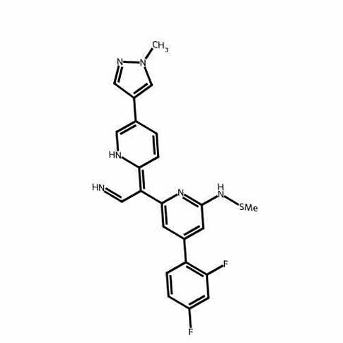 CSNc1cc(-c2ccc(F)cc2F)cc(/C(C=N)=C2\C=CC(c3cnn(C)c3)=CN2)n1